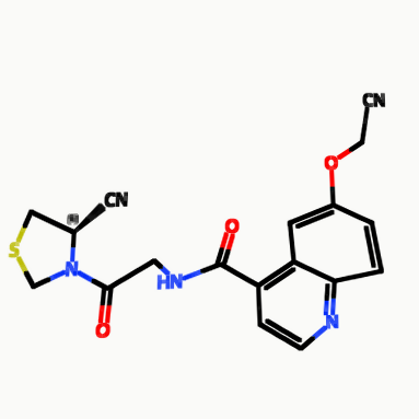 N#CCOc1ccc2nccc(C(=O)NCC(=O)N3CSC[C@H]3C#N)c2c1